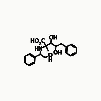 C[C@@](N[C@@H](CO)c1ccccc1)(C(=O)O)C(O)C(O)Cc1ccccc1